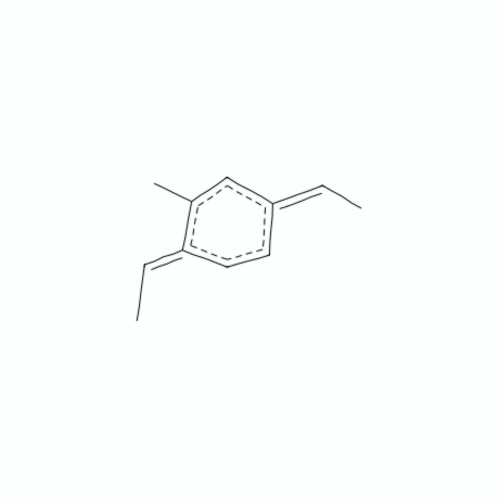 CC=c1ccc(=CC)c(C)c1